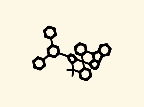 CC1(C)c2ccccc2C2(c3ccccc3-n3c4ccccc4c4cccc2c43)c2ccc(-c3cc(-c4ccccc4)cc(-c4ccccc4)c3)cc21